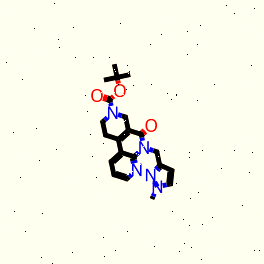 Cn1ccc(Cn2c(=O)c3c(c4cccnc42)CCN(C(=O)OC(C)(C)C)C3)n1